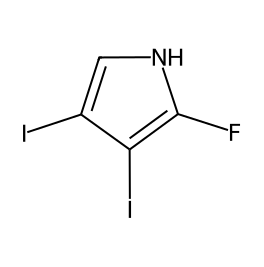 Fc1[nH]cc(I)c1I